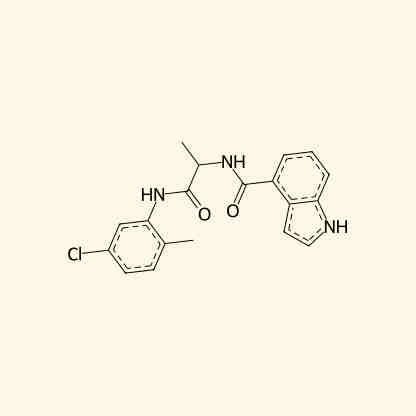 Cc1ccc(Cl)cc1NC(=O)C(C)NC(=O)c1cccc2[nH]ccc12